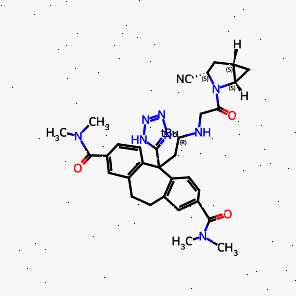 CN(C)C(=O)c1ccc2c(c1)CCc1cc(C(=O)N(C)C)ccc1C2(C[C@@H](NCC(=O)N1[C@H](C#N)C[C@@H]2C[C@@H]21)C(C)(C)C)c1nnn[nH]1